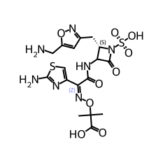 CC(C)(O/N=C(\C(=O)NC1C(=O)N(S(=O)(=O)O)[C@H]1Cc1cc(CN)on1)c1csc(N)n1)C(=O)O